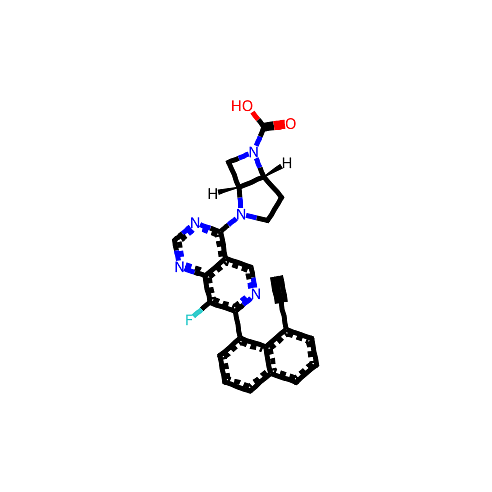 C#Cc1cccc2cccc(-c3ncc4c(N5CC[C@@H]6[C@H]5CN6C(=O)O)ncnc4c3F)c12